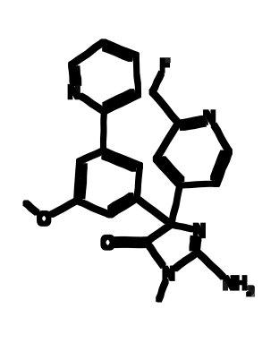 COc1cc(-c2ccccn2)cc(C2(c3ccnc(CF)c3)N=C(N)N(C)C2=O)c1